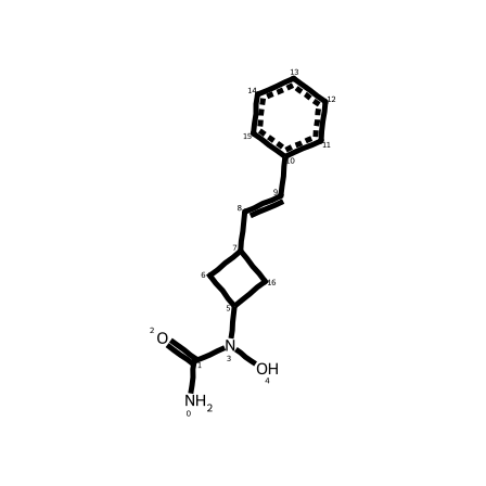 NC(=O)N(O)C1CC(C=Cc2ccccc2)C1